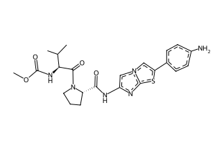 COC(=O)N[C@H](C(=O)N1CCC[C@H]1C(=O)Nc1cn2cc(-c3ccc(N)cc3)sc2n1)C(C)C